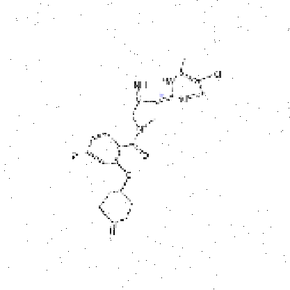 CC1=C(Cl)C=N/C(=C2\CN(C(=O)c3ccc(F)cc3OC3CCNCC3)CC2=N)N1